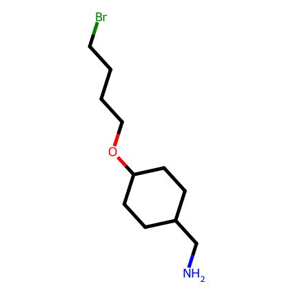 NCC1CCC(OCCCCBr)CC1